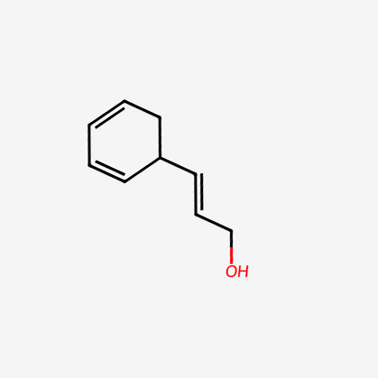 OC/C=C/C1C=CC=CC1